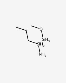 CCC[SiH2]N.CO[SiH3]